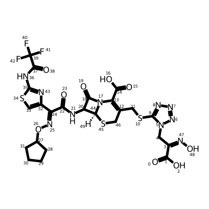 O=C(O)C(Cn1nnnc1SCC1=C(C(=O)O)N2C(=O)C(NC(=O)C(=NOC3CCCC3)c3csc(NC(=O)C(F)(F)F)n3)[C@@H]2SC1)=NO